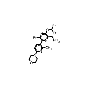 CCc1nc(OC(CC)CC)c(CN)nc1-c1ccc(N2CCOCC2)nc1C